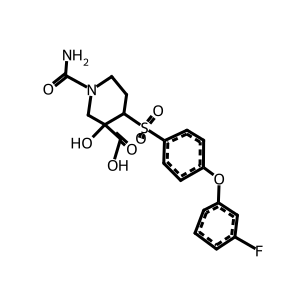 NC(=O)N1CCC(S(=O)(=O)c2ccc(Oc3cccc(F)c3)cc2)C(O)(C(=O)O)C1